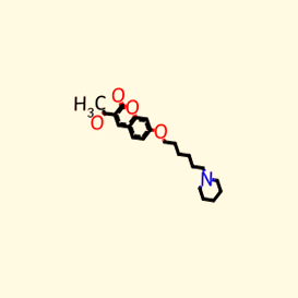 CC(=O)c1cc2ccc(OCCCCCCN3CCCCC3)cc2oc1=O